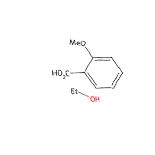 CCO.COc1ccccc1C(=O)O